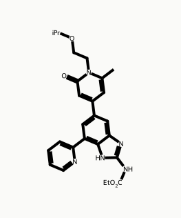 CCOC(=O)Nc1nc2cc(-c3cc(C)n(CCOC(C)C)c(=O)c3)cc(-c3ccccn3)c2[nH]1